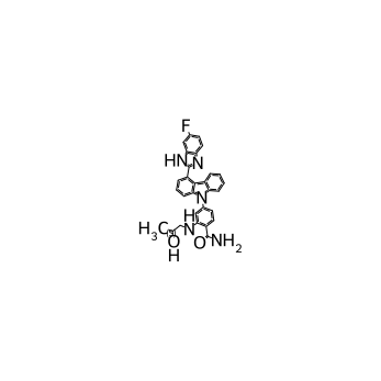 C[C@H](O)CNc1cc(-n2c3ccccc3c3c(-c4nc5ccc(F)cc5[nH]4)cccc32)ccc1C(N)=O